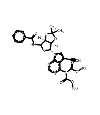 C#Cc1cn([C@@H]2SC(NC(=O)c3ccccc3)[C@H]3OC(C)(C)O[C@H]32)c2ncnc(N(C(=O)OC(C)(C)C)C(=O)OC(C)(C)C)c12